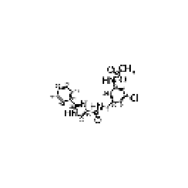 CS(=O)(=O)Nc1cc(Cl)cc(CNC(=O)c2c[nH]c(-c3ccccc3)n2)c1